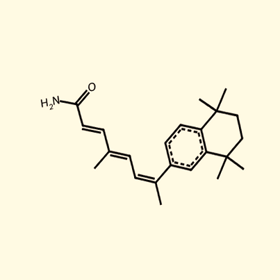 C/C(=C/C=C(C)/C=C/C(N)=O)c1ccc2c(c1)C(C)(C)CCC2(C)C